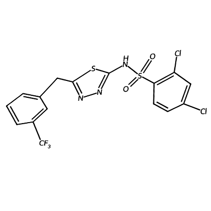 O=S(=O)(Nc1nnc(Cc2cccc(C(F)(F)F)c2)s1)c1ccc(Cl)cc1Cl